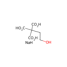 O=C(O)C(CCO)(C(=O)O)C(=O)O.[NaH]